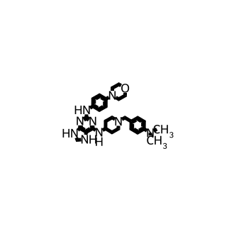 CN(C)c1ccc(CN2CCC(Nc3nc(Nc4ccc(N5CCOCC5)cc4)nc4c3NCN4)CC2)cc1